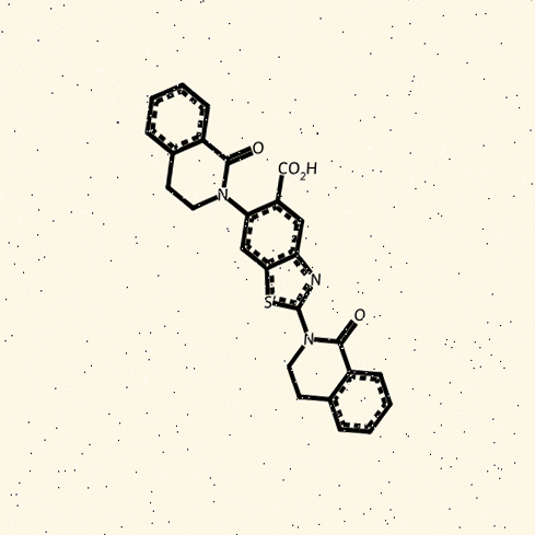 O=C(O)c1cc2nc(N3CCc4ccccc4C3=O)sc2cc1N1CCc2ccccc2C1=O